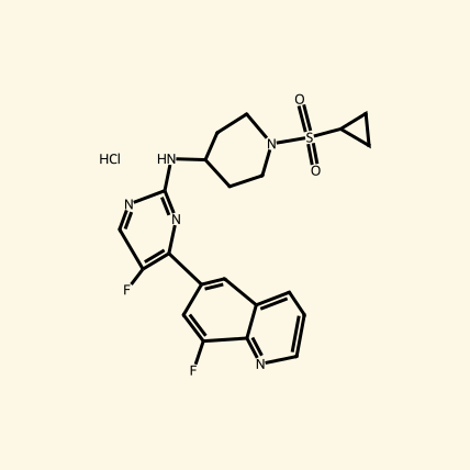 Cl.O=S(=O)(C1CC1)N1CCC(Nc2ncc(F)c(-c3cc(F)c4ncccc4c3)n2)CC1